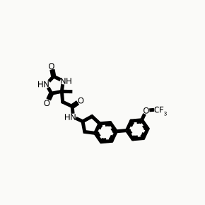 CC1(CC(=O)NC2Cc3ccc(-c4cccc(OC(F)(F)F)c4)cc3C2)NC(=O)NC1=O